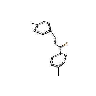 Cc1ccc(C=CC(=S)c2ccc(C)cc2)cc1